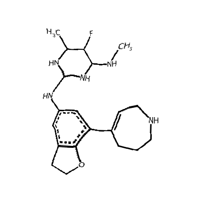 CNC1NC(Nc2cc3c(c(C4=CCNCCC4)c2)OCC3)NC(C)C1F